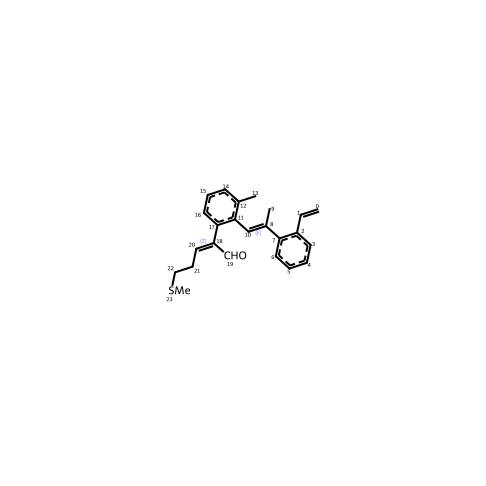 C=Cc1ccccc1/C(C)=C/c1c(C)cccc1/C(C=O)=C/CCSC